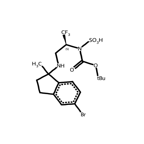 CC(C)(C)OC(=O)N([C@@H](CNC1(C)CCc2cc(Br)ccc21)C(F)(F)F)S(=O)(=O)O